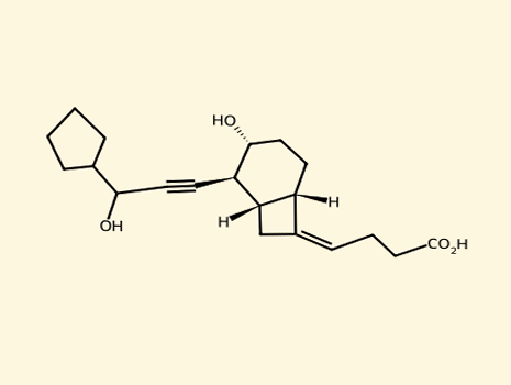 O=C(O)CC/C=C1/C[C@@H]2[C@@H](C#CC(O)C3CCCC3)[C@H](O)CC[C@H]12